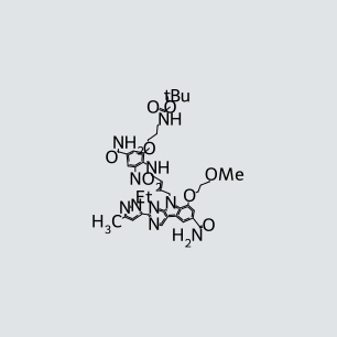 CCn1nc(C)cc1-c1ncc2c3cc(C(N)=O)cc(OCCCOC)c3n(C/C=C/CNc3c(OCCCNC(=O)OC(C)(C)C)cc(C(N)=O)cc3[N+](=O)[O-])c2n1